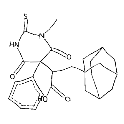 CN1C(=O)C(c2ccccc2)(C(CC23CC4CC(CC(C4)C2)C3)C(=O)O)C(=O)NC1=S